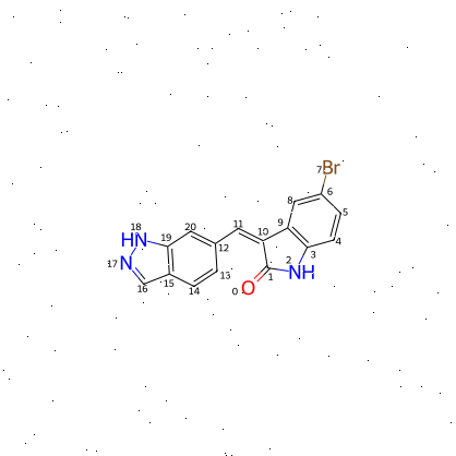 O=C1Nc2ccc(Br)cc2C1=Cc1ccc2cn[nH]c2c1